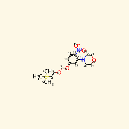 CS(C)(C)CCOCOc1ccc([N+](=O)[O-])c(N2CCOCC2)c1